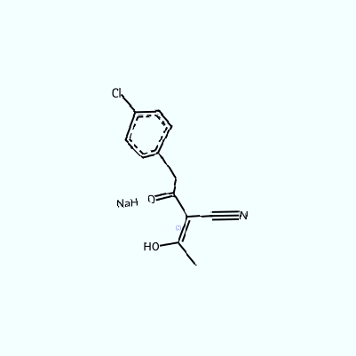 C/C(O)=C(\C#N)C(=O)Cc1ccc(Cl)cc1.[NaH]